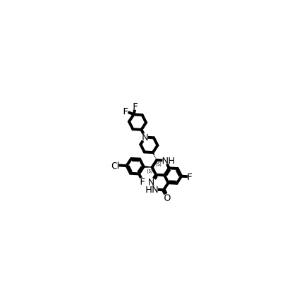 O=c1[nH]nc2c3c(cc(F)cc13)N[C@@H](C1CCN(C3CCC(F)(F)CC3)CC1)[C@@H]2c1ccc(Cl)cc1F